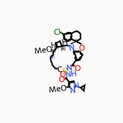 COc1nn(C2CC2)cc1C(=O)NS1(=O)=NC(=O)c2ccc3c(c2)N(C[C@@H]2CC[C@H]2[C@@H](OC)/C=C/CCC1)C[C@@]1(CCCc2cc(Cl)ccc21)CO3